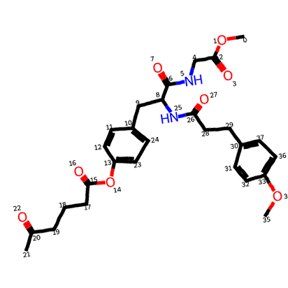 COC(=O)CNC(=O)C(Cc1ccc(OC(=O)CCCC(C)=O)cc1)NC(=O)CCc1ccc(OC)cc1